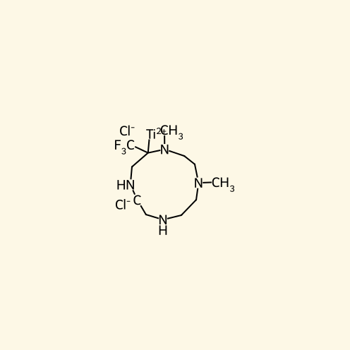 CN1CCNCCNC[C]([Ti+2])(C(F)(F)F)N(C)CC1.[Cl-].[Cl-]